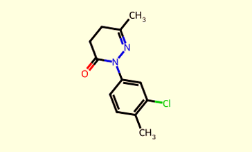 CC1=NN(c2ccc(C)c(Cl)c2)C(=O)CC1